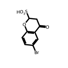 O=C1CC(S(=O)(=O)O)Oc2ccc(Br)cc21